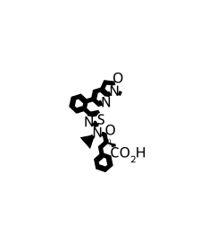 CN1C(=O)Cc2cc(-c3ccccc3-c3csc(N(C(=O)[C@@H](CC(=O)O)Cc4ccccc4)C4CC4)n3)cnc21